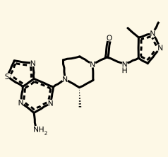 Cc1c(NC(=O)N2CCN(c3nc(N)nc4scnc34)[C@@H](C)C2)cnn1C